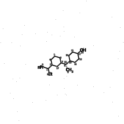 CCCC(CC)C1CCCC([C@@H](C)C2CCC(O)CC2)C1